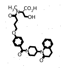 CN(C(=O)CCCOc1ccc(C(=O)N2CCC(N3C(=O)CCc4ccccc43)CC2)cc1)[C@@H](CO)C(=O)O